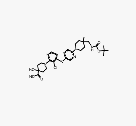 CC1(CNC(=O)OC(C)(C)C)CCN(c2cnc(Sc3ccnc(N4CCC(O)(C(=O)O)CC4)c3Cl)cn2)CC1